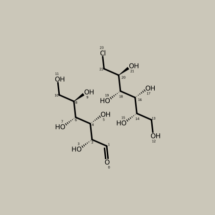 O=C[C@H](O)[C@@H](O)[C@H](O)[C@H](O)CO.OC[C@H](O)[C@@H](O)[C@H](O)[C@H](O)CCl